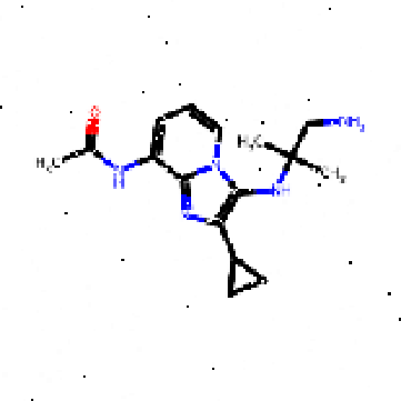 CC(=O)Nc1cccn2c(NC(C)(C)CN)c(C3CC3)nc12